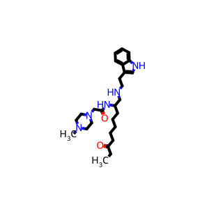 CCC(=O)CCCCCC(CNCCc1c[nH]c2ccccc12)NC(=O)CN1CCN(C)CC1